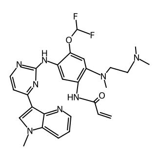 C=CC(=O)Nc1cc(Nc2nccc(-c3cn(C)c4cccnc34)n2)c(OC(F)F)cc1N(C)CCN(C)C